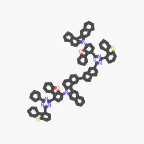 c1ccc(-c2nc(-c3cccc4sc5ccccc5c34)nc(-c3ccc(-n4c5cc6ccccc6cc5c5c6cc(-c7ccc8ccc(-c9nc(-c%10cccc%11sc%12ccccc%12c%10%11)nc(-c%10ccc(-n%11c%12cc%13ccccc%13cc%12c%12c%13ccccc%13ccc%12%11)c%11oc%12ccccc%12c%10%11)n9)cc8c7)ccc6ccc54)c4oc5ccccc5c34)n2)cc1